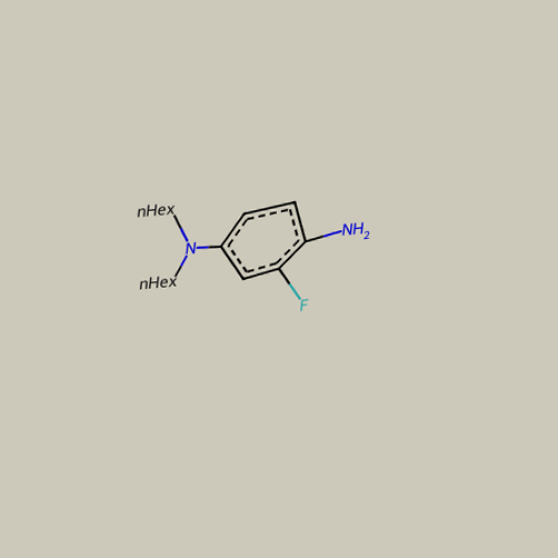 CCCCCCN(CCCCCC)c1ccc(N)c(F)c1